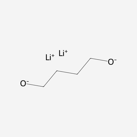 [Li+].[Li+].[O-]CCCC[O-]